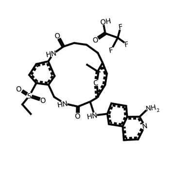 CCS(=O)(=O)c1ccc2cc1CNC(=O)C(Nc1ccc3c(N)nccc3c1)c1ccc(c(C)c1)CCCC(=O)N2.O=C(O)C(F)(F)F